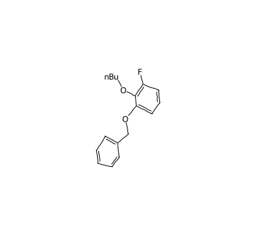 CCCCOc1c(F)cccc1OCc1ccccc1